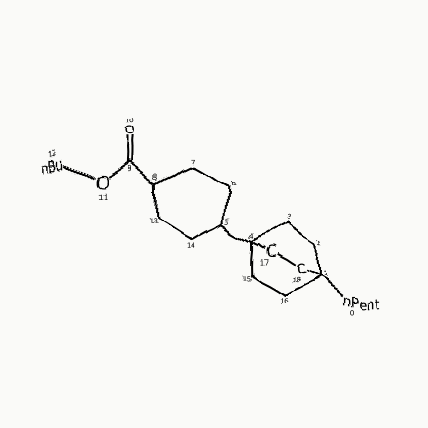 CCCCCC12CCC(C3CCC(C(=O)OCCCC)CC3)(CC1)CC2